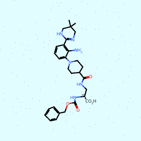 CC1(C)CN=C(c2cccc(N3CCC(C(=O)NC[C@H](NC(=O)OCc4ccccc4)C(=O)O)CC3)c2N)NC1